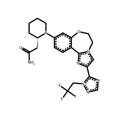 NC(=O)C[C@@H]1CCCCN1c1ccc2c(c1)OCCn1cc(-c3ncnn3CC(F)(F)F)nc1-2